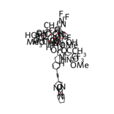 COC(=O)N[C@H](C(=O)N[C@@H](Cc1ccc(C#Cc2cnc(N3CC4CCC(C3)N4C3COC3)nc2)cc1)[C@H](CN(Cc1c(F)cc(-c2ccn(C(F)F)n2)cc1F)NC(=O)[C@@H](NC(=O)OC)C(C)(C)C(F)(F)F)OC(=O)CC(C)(C)c1c(CC(=O)N2CC[C@@H](O)[C@H]2C(=O)OC)cc(C)cc1OP(=O)(O)O)C(C)(C)C(F)(F)F